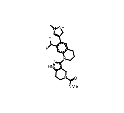 CNC(=O)N1CCc2[nH]nc(N3CCCc4cc(C5=CN(C)NC5)c(C(F)F)cc43)c2C1